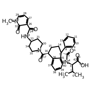 CC(C)[C@@H](NC(=O)[C@@]1(c2ccccc2)CC[C@H](C(=O)N2CCC(NC(=O)c3cccn(C)c3=O)CC2)c2ccccc21)C(=O)O